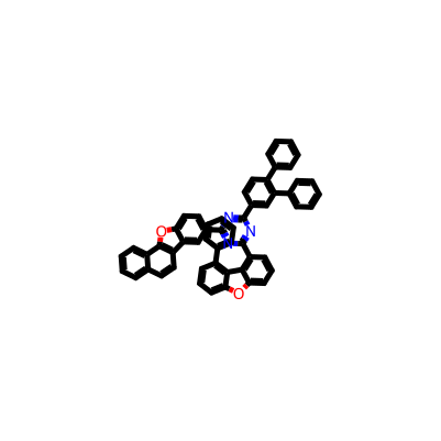 c1ccc(-c2ccc(-c3nc(-c4ccc5oc6c7ccccc7ccc6c5c4)nc(-c4cccc5oc6cccc(-c7ccccc7)c6c45)n3)cc2-c2ccccc2)cc1